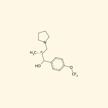 C[C@H](CN1CCCC1)C(O)c1ccc(OC(F)(F)F)cc1